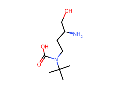 CC(C)(C)N(CC[C@H](N)CO)C(=O)O